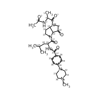 CC(=O)NC(C)C(=O)N1CC(=O)C2C1CCN2C(=O)C(CC(C)C)NC(=O)c1ccc(N2CCN(C)CC2)cc1